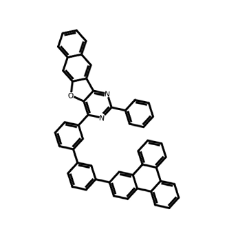 c1ccc(-c2nc(-c3cccc(-c4cccc(-c5ccc6c7ccccc7c7ccccc7c6c5)c4)c3)c3oc4cc5ccccc5cc4c3n2)cc1